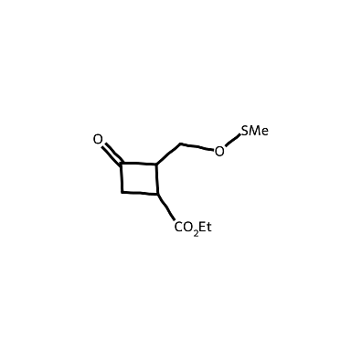 CCOC(=O)C1CC(=O)C1COSC